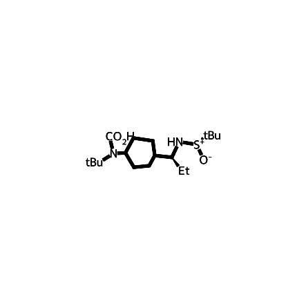 CC[C@H](N[S@@+]([O-])C(C)(C)C)C1CCC(N(C(=O)O)C(C)(C)C)CC1